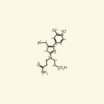 CC(C)Cc1sc(N(CCC(N)=O)CCC(=O)O)nc1-c1ccc(Cl)c(Cl)c1